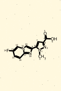 Cn1nc(C(=O)O)cc1-c1cn2cc(F)ccc2n1